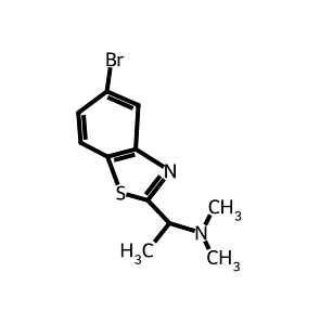 CC(c1nc2cc(Br)ccc2s1)N(C)C